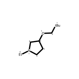 CCN1CCC(OCC(C)(C)C)C1